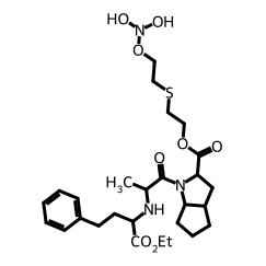 CCOC(=O)C(CCc1ccccc1)NC(C)C(=O)N1C(C(=O)OCCSCCON(O)O)CC2CCCC21